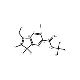 CC[N+]1=C(C)C(C)(C)c2cc(C(=O)OC(C)(C)C)ccc21.[I-]